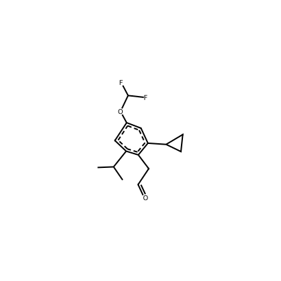 CC(C)c1cc(OC(F)F)cc(C2CC2)c1CC=O